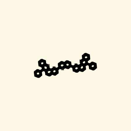 c1ccc(-c2c3ccccc3nc3c2ccc2ccc(-c4ccc5ccc(-c6ccc7ccc8c(-c9ccccc9)c9ccccc9nc8c7n6)nc5c4)nc23)cc1